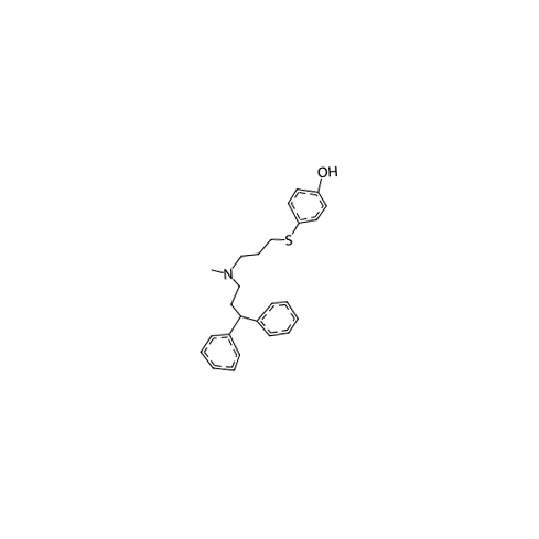 CN(CCCSc1ccc(O)cc1)CCC(c1ccccc1)c1ccccc1